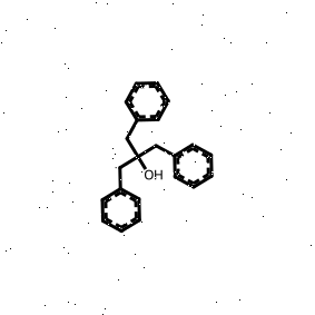 OC([CH]c1ccccc1)(Cc1ccccc1)Cc1ccccc1